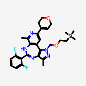 Cc1nn(COCC[Si](C)(C)C)c2c1N=C(c1c(F)cccc1F)Nc1c-2cc(C2=CCOCC2)nc1C